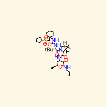 C#CCCC(NC(=O)[C@@H]1[C@@H]2[C@H](CN1C(=O)[C@@H](NC(=O)NC1(CS(=O)(=O)C3CCCC3)CCCCC1)C(C)(C)C)C2(C)C)C(=O)C(=O)NCC=C